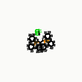 [Cl-].[Cl-].c1ccc([P+](CCC[P+](c2ccccc2)(c2ccccc2)c2ccccc2)(c2ccccc2)c2ccccc2)cc1